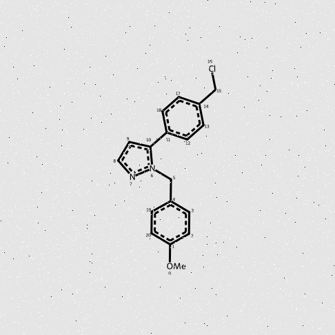 COc1ccc(Cn2nccc2-c2ccc(CCl)cc2)cc1